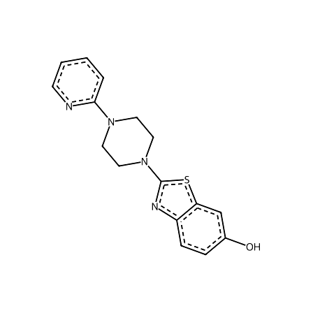 Oc1ccc2nc(N3CCN(c4ccccn4)CC3)sc2c1